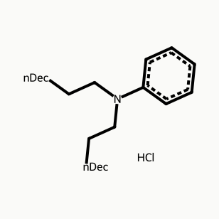 CCCCCCCCCCCCN(CCCCCCCCCCCC)c1ccccc1.Cl